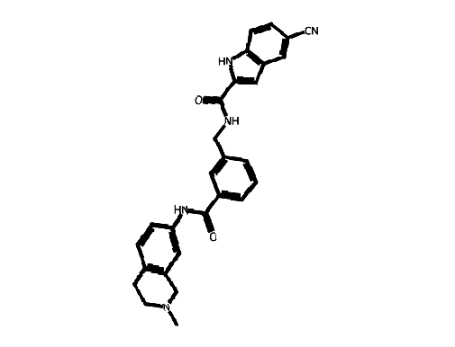 CN1CCc2ccc(NC(=O)c3cccc(CNC(=O)c4cc5cc(C#N)ccc5[nH]4)c3)cc2C1